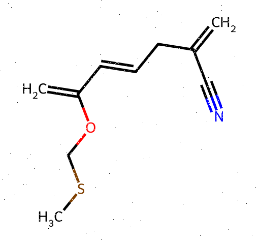 C=C(C#N)CC=CC(=C)OCSC